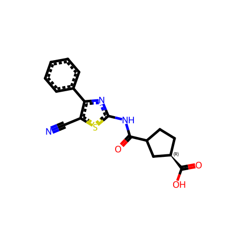 N#Cc1sc(NC(=O)C2CC[C@@H](C(=O)O)C2)nc1-c1ccccc1